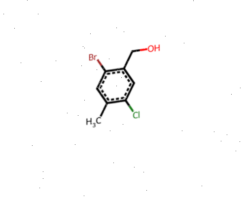 Cc1cc(Br)c(CO)cc1Cl